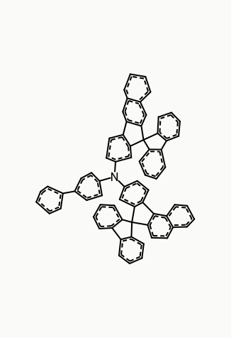 c1ccc(-c2ccc(N(c3ccc4c(c3)C3(c5ccccc5-c5ccccc53)c3cc5ccccc5cc3-4)c3ccc4c(c3)C3(c5ccccc5-c5ccccc53)c3ccc5ccccc5c3-4)cc2)cc1